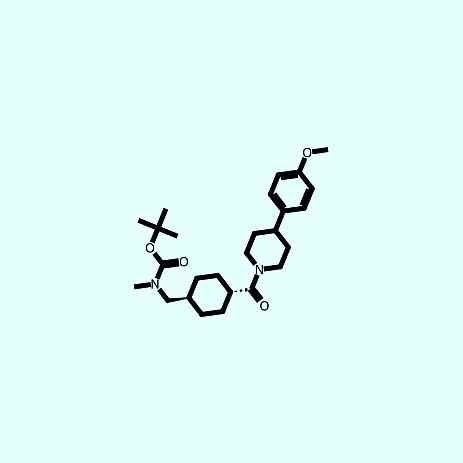 COc1ccc(C2CCN(C(=O)[C@H]3CC[C@H](CN(C)C(=O)OC(C)(C)C)CC3)CC2)cc1